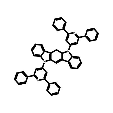 C1=C2c3ccccc3N(c3cc(-c4ccccc4)nc(-c4ccccc4)c3)C2Cc2c1n(-c1cc(-c3ccccc3)nc(-c3ccccc3)c1)c1ccccc21